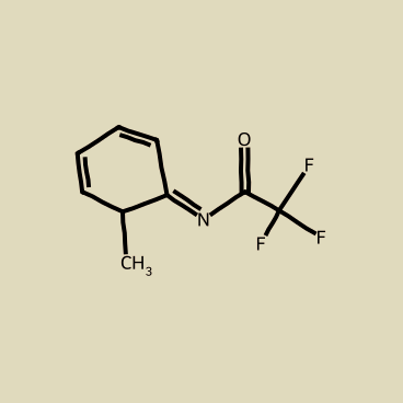 CC1C=CC=CC1=NC(=O)C(F)(F)F